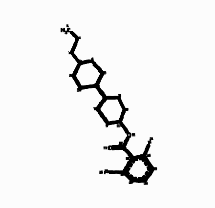 CCCC1CCC(C2CCC(OC(=O)c3c(F)cccc3F)CC2)CC1